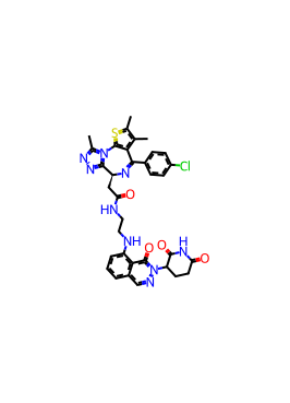 Cc1sc2c(c1C)C(c1ccc(Cl)cc1)=N[C@@H](CC(=O)NCCNc1cccc3cnn(C4CCC(=O)NC4=O)c(=O)c13)c1nnc(C)n1-2